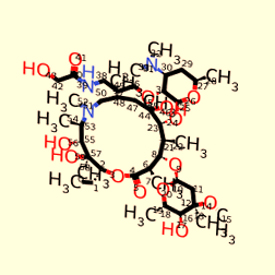 CC[C@H]1OC(=O)[C@H](C)[C@@H](O[C@H]2C[C@@](C)(OC)[C@@H](O)[C@H](C)O2)[C@H](C)[C@@H](O[C@@H]2O[C@H](C)C[C@H](N(C)C)[C@H]2OCCCNC(=O)CO)[C@](C)(O)C[C@@H](C)CN(C)[C@H](C)[C@@H](O)[C@]1(C)O